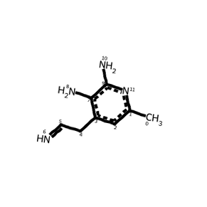 Cc1cc(CC=N)c(N)c(N)n1